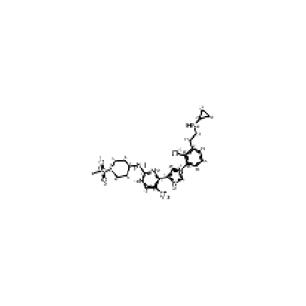 CS(=O)(=O)N1CCC(Nc2ncc(C(F)(F)F)c(-c3cn(-c4cccc(CCNC5CC5)c4Cl)cn3)n2)CC1